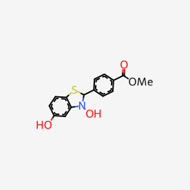 COC(=O)c1ccc(C2Sc3ccc(O)cc3N2O)cc1